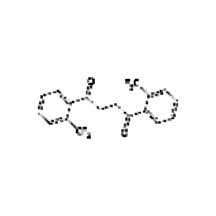 O=C(CCC(=O)c1ccccc1C(F)(F)F)c1ccccc1C(F)(F)F